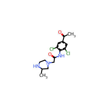 CC(=O)c1cc(Cl)c(NC(=O)CN2CCNC(C)C2)c(Cl)c1